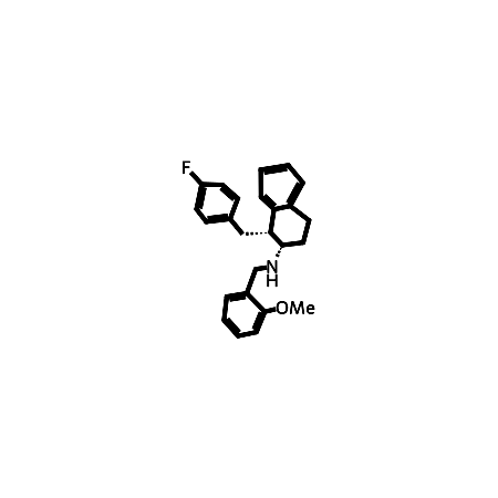 COc1ccccc1CN[C@H]1CCc2ccccc2[C@H]1Cc1ccc(F)cc1